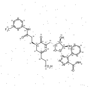 NC(=O)c1nnn([C@@H]2O[C@H](CNC(=O)[C@H](CCC(=O)Nc3cccc(C(F)(F)F)c3)CC(=O)CCC(=O)O)[C@@H](O)[C@H]2O)c1-c1ccccc1